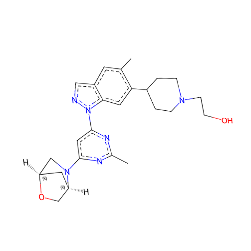 Cc1nc(N2C[C@H]3C[C@@H]2CO3)cc(-n2ncc3cc(C)c(C4CCN(CCO)CC4)cc32)n1